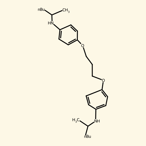 CCCCC(C)Nc1ccc(OCCCOc2ccc(NC(C)CCCC)cc2)cc1